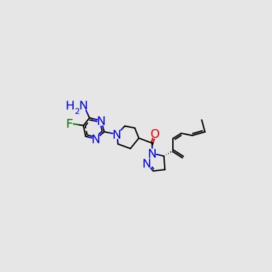 C=C(/C=C\C=C/C)[C@@H]1CC=NN1C(=O)C1CCN(c2ncc(F)c(N)n2)CC1